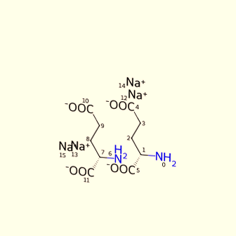 N[C@@H](CCC(=O)[O-])C(=O)[O-].N[C@@H](CCC(=O)[O-])C(=O)[O-].[Na+].[Na+].[Na+].[Na+]